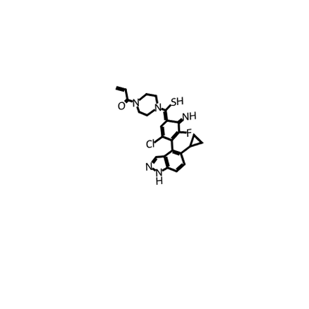 C=CC(=O)N1CCN(/C(S)=C2\C=C(Cl)C(c3c(C4CC4)ccc4[nH]ncc34)=C(F)C2=N)CC1